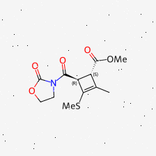 COC(=O)[C@@H]1C(C)=C(SC)[C@H]1C(=O)N1CCOC1=O